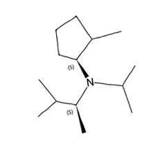 CC(C)[C@H](C)N(C(C)C)[C@H]1CCCC1C